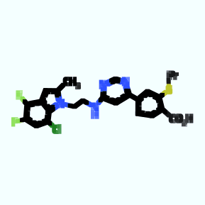 Cc1cc2c(F)c(F)cc(Cl)c2n1CCNc1cc(-c2ccc(C(=O)O)c(SC(C)C)c2)ncn1